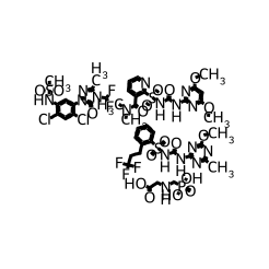 COc1cc(OC)nc(NC(=O)NS(=O)(=O)c2ncccc2C(=O)N(C)C)n1.COc1nc(C)nc(NC(=O)NS(=O)(=O)c2ccccc2CCC(F)(F)F)n1.Cc1nn(-c2cc(NS(C)(=O)=O)c(Cl)cc2Cl)c(=O)n1C(F)F.O=C(O)CNCP(=O)(O)O